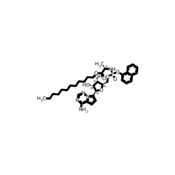 CCCCCCCCCCCCOC(=O)[C@H](C)NP(=O)(OC[C@H]1O[C@@H](c2ccc3c(N)ncnn23)[C@H](O)[C@@H]1O)Oc1cccc2ccccc12